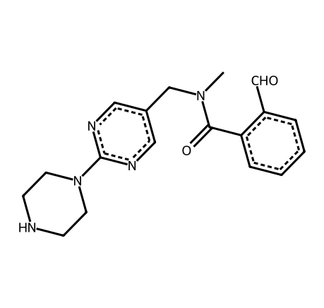 CN(Cc1cnc(N2CCNCC2)nc1)C(=O)c1ccccc1C=O